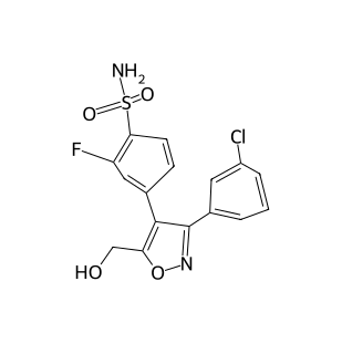 NS(=O)(=O)c1ccc(-c2c(-c3cccc(Cl)c3)noc2CO)cc1F